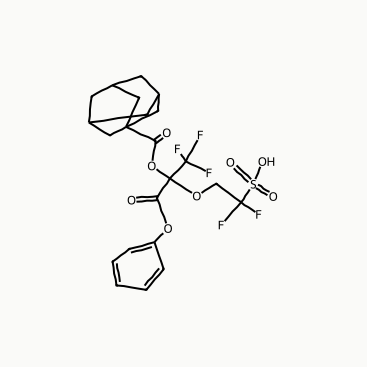 O=C(OC(OCC(F)(F)S(=O)(=O)O)(C(=O)Oc1ccccc1)C(F)(F)F)C12CC3CC(CC(C3)C1)C2